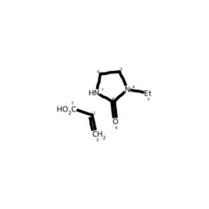 C=CC(=O)O.CCN1CCNC1=O